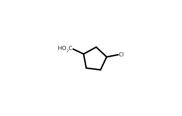 O=C(O)C1CCC(Cl)C1